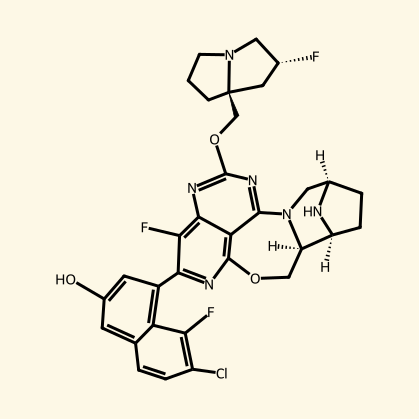 Oc1cc(-c2nc3c4c(nc(OC[C@@]56CCCN5C[C@H](F)C6)nc4c2F)N2C[C@H]4CC[C@H](N4)[C@H]2CO3)c2c(F)c(Cl)ccc2c1